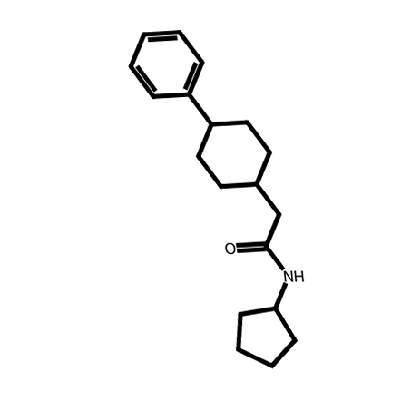 O=C(CC1CCC(c2ccccc2)CC1)NC1CCCC1